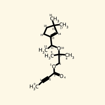 CC#CC(=O)OCC(C)(C)OC(C)C1=CC(C)(C)CC1